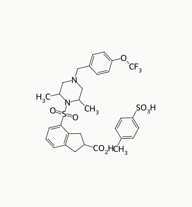 CC1CN(Cc2ccc(OC(F)(F)F)cc2)CC(C)N1S(=O)(=O)c1cccc2c1CC(C(=O)O)C2.Cc1ccc(S(=O)(=O)O)cc1